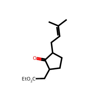 CCOC(=O)CC1CCC(CC=C(C)C)C1=O